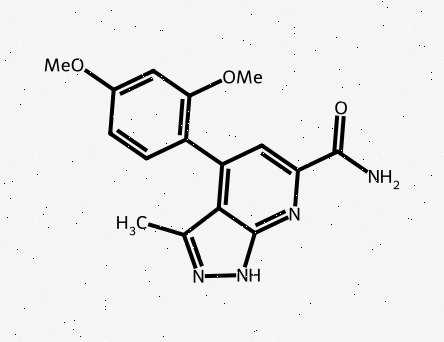 COc1ccc(-c2cc(C(N)=O)nc3[nH]nc(C)c23)c(OC)c1